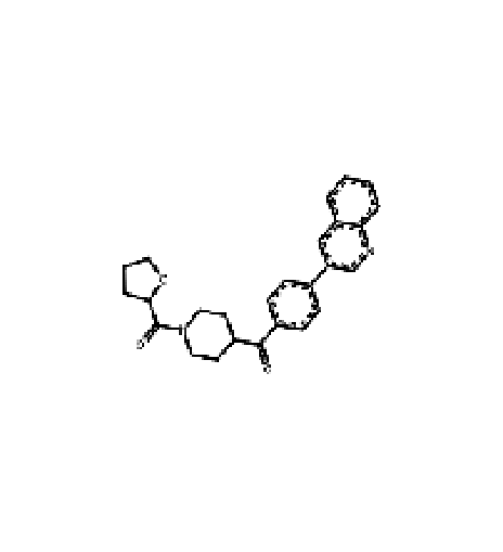 O=C(c1ccc(-c2cnc3ccccc3c2)cc1)C1CCN(C(=O)C2CCCO2)CC1